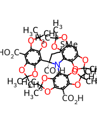 CSCC[C@](C(=O)O)(c1c2c(c(C(=O)O)c3c1OC(C)(C)O3)OC(C)(C)O2)N(c1c2c(cc3c1OC(C)(C)O3)OC(C)(C)O2)c1c2c(c(C(=O)O)c3c1OC(C)(C)O3)OC(C)(C)O2